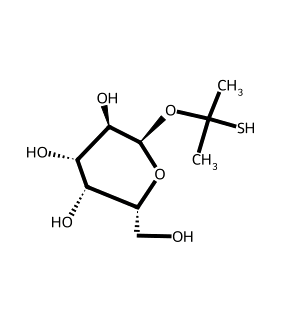 CC(C)(S)O[C@H]1O[C@H](CO)[C@H](O)[C@H](O)[C@H]1O